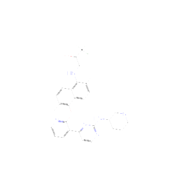 Cc1ccc2c(NCC(O)C(F)(F)F)c(F)ccc2c1Oc1ncccc1-c1ccnc(NC2CCCNC2)n1